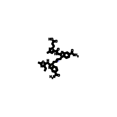 CCc1nc(C)oc1Nc1nc2cc(C(N)=O)ccc2n1C/C=C/Cn1c(NC(=O)c2cc(C)nn2CCC(=O)O)nc2cc(C(N)=O)ccc21